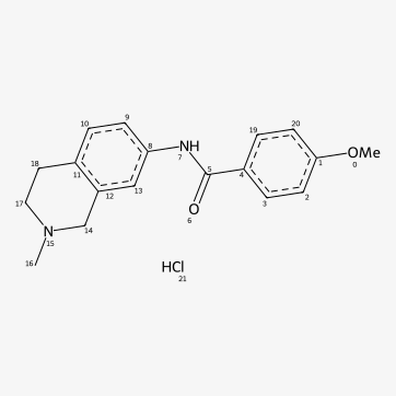 COc1ccc(C(=O)Nc2ccc3c(c2)CN(C)CC3)cc1.Cl